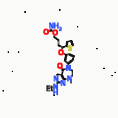 CCNc1ncc2c(n1)N(C)CCN(c1cccc(O[C@@H](CCCOC(N)=O)c3cccs3)c1)C2=O